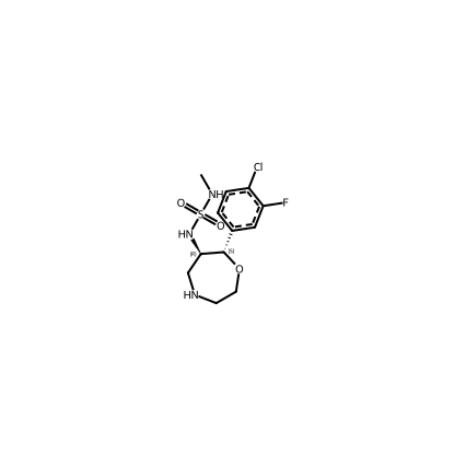 CNS(=O)(=O)N[C@@H]1CNCCO[C@H]1c1ccc(Cl)c(F)c1